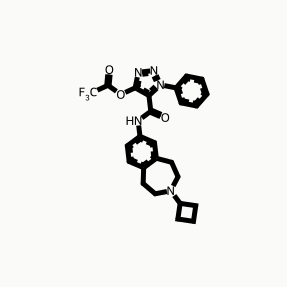 O=C(Nc1ccc2c(c1)CCN(C1CCC1)CC2)c1c(OC(=O)C(F)(F)F)nnn1-c1ccccc1